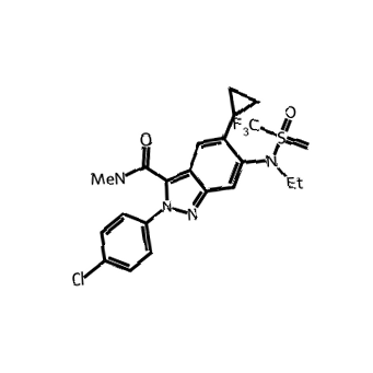 C=S(=O)(N(CC)c1cc2nn(-c3ccc(Cl)cc3)c(C(=O)NC)c2cc1C1CC1)C(F)(F)F